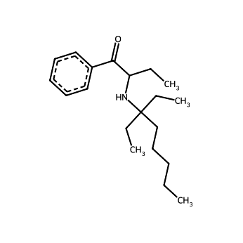 CCCCCC(CC)(CC)NC(CC)C(=O)c1ccccc1